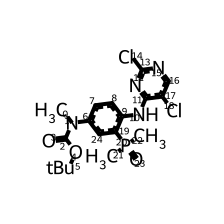 CN(C(=O)OC(C)(C)C)c1ccc(Nc2nc(Cl)ncc2Cl)c(P(C)(C)=O)c1